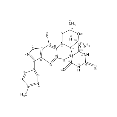 Cc1ccc(-c2noc3c(F)c4c(cc23)CC2(C(=O)NC(=O)NC2=O)[C@@H]2[C@@H](C)O[C@@H](C)CN42)cn1